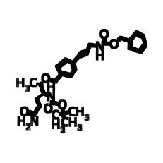 C[C@@H](OCc1ccc(C#CCNC(=O)OCc2ccccc2)cc1)[C@H](CCC(N)=O)NC(=O)OC(C)(C)C